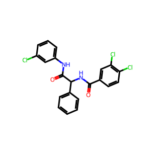 O=C(NC(C(=O)Nc1cccc(Cl)c1)c1ccccc1)c1ccc(Cl)c(Cl)c1